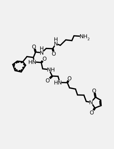 NCCCCNC(=O)CNC(=O)C(Cc1ccccc1)NC(=O)CNC(=O)CNC(=O)CCCCCN1C(=O)C=CC1=O